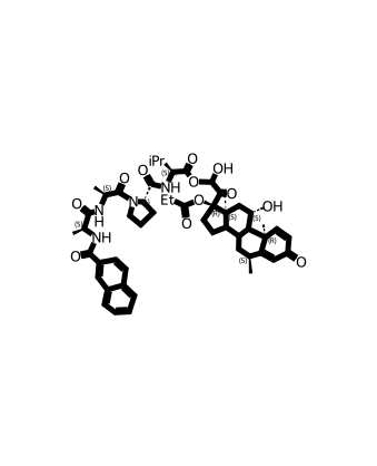 CCC(=O)O[C@]1(C(=O)C(O)OC(=O)[C@@H](NC(=O)[C@@H]2CCCN2C(=O)[C@H](C)NC(=O)[C@H](C)NC(=O)c2ccc3ccccc3c2)C(C)C)CCC2C3C[C@H](C)C4=CC(=O)C=C[C@]4(C)C3[C@@H](O)C[C@@]21C